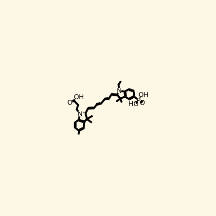 CCN1/C(=C/C=C/C=C/C=C/C2=[N+](CCC(=O)O)c3ccc(C)cc3C2(C)C)C(C)(C)c2cc(P(=O)(O)O)ccc21